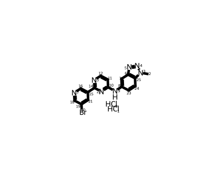 Cl.Cl.Cn1nnc2cc(Nc3ccnc(-c4cncc(Br)c4)n3)ccc21